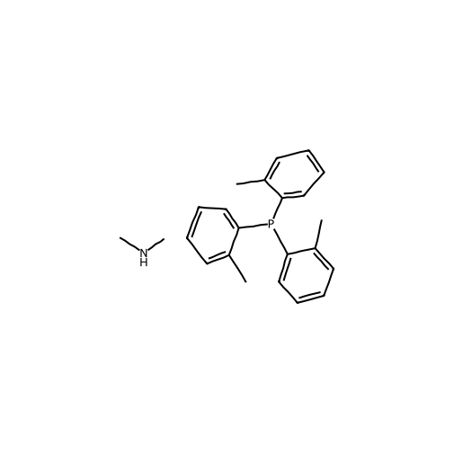 CNC.Cc1ccccc1P(c1ccccc1C)c1ccccc1C